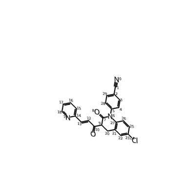 N#Cc1ccc(N2C(=O)C(C(=O)/C=C/c3ccccn3)Cc3cc(Cl)ccc32)cc1